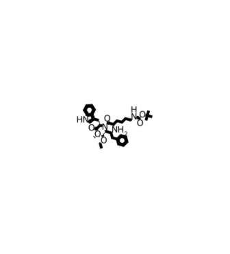 CCOC[C@@H](CCc1ccccc1)N(C(=O)[C@@H](N)CCCCNC(=O)OC(C)(C)C)[C@@H](Cc1c[nH]c2ccccc12)C(=O)OC